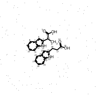 CC(C(=O)O)c1cc2ccccc2[nH]1.O=C(O)CCc1cc2ccccc2[nH]1